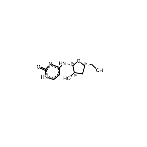 O=c1nc(N[C@@H]2O[C@H](CO)C[C@H]2O)cc[nH]1